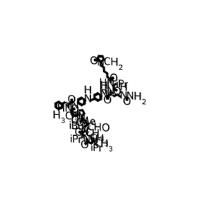 C=C1C=CC(=O)N1CCCCCC(=O)NC(C(=O)N[C@@H](CCCNC(N)=O)C(=O)Nc1ccc(CNc2ccc(NC(=O)[C@H](Cc3ccccc3)NC(=O)[C@H](C)[C@@H](OC)[C@@H]3CCCN3C(=O)C[C@@H](C=O)[C@H]([C@@H](C)CC)N(C)C(=O)[C@@H](NC(=O)C(C(C)C)N(C)C)C(C)C)cc2)cc1)C(C)C